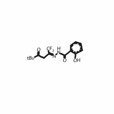 CC(C)(C)C(=O)C/C(=N/NC(=O)c1ccccc1O)C(F)(F)F